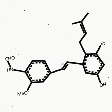 CCc1cc(O)cc(/C=C/c2ccc(NC=O)c(OC)c2)c1CC=C(C)C